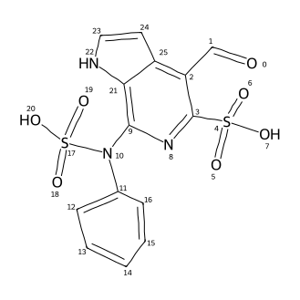 O=Cc1c(S(=O)(=O)O)nc(N(c2ccccc2)S(=O)(=O)O)c2[nH]ccc12